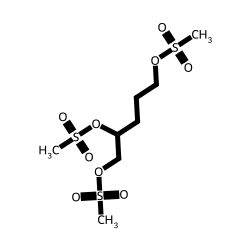 CS(=O)(=O)OCCCC(COS(C)(=O)=O)OS(C)(=O)=O